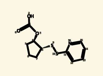 O=C(O)O[C@@H]1CCC[C@H]1SSc1ccccn1